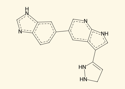 C1=C(c2c[nH]c3ncc(-c4ccc5nc[nH]c5c4)cc23)NNC1